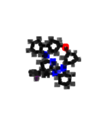 CC(C)[n+]1cn(-c2cccc(Oc3ccc4c5ccccc5n(-c5cc(C(C)(C)C)ccn5)c4c3)c2)c2ccccc21.[I-]